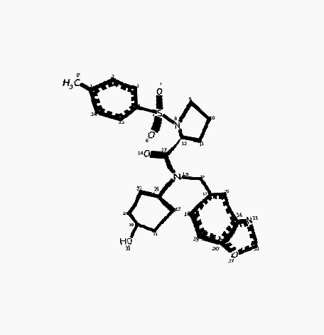 Cc1ccc(S(=O)(=O)N2CCC[C@H]2C(=O)N(Cc2ccc3ocnc3c2)C2CCC(O)CC2)cc1